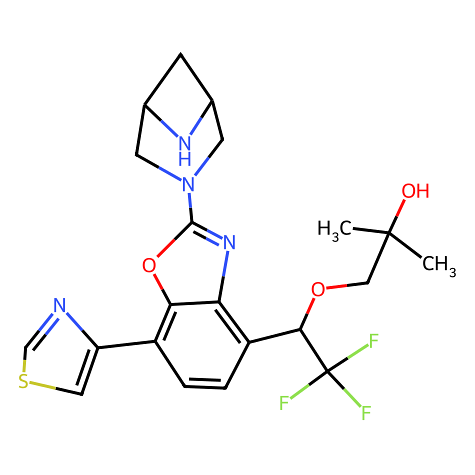 CC(C)(O)COC(c1ccc(-c2cscn2)c2oc(N3CC4CC(C3)N4)nc12)C(F)(F)F